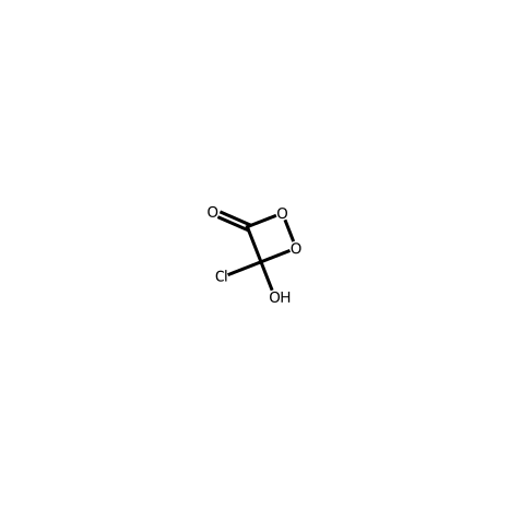 O=C1OOC1(O)Cl